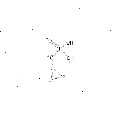 O=P(O)(O)OC1CC1